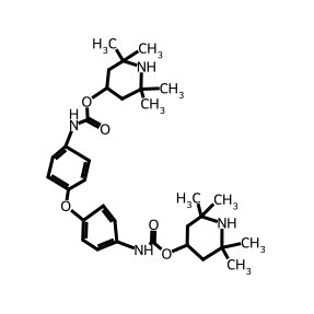 CC1(C)CC(OC(=O)Nc2ccc(Oc3ccc(NC(=O)OC4CC(C)(C)NC(C)(C)C4)cc3)cc2)CC(C)(C)N1